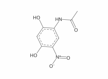 CC(=O)Nc1cc([N+](=O)[O-])c(O)cc1O